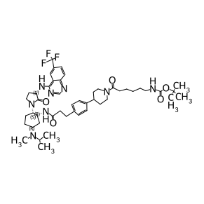 CC(C)N(C)[C@@H]1CC[C@H](N2CC[C@H](Nc3ncnc4ccc(C(F)(F)F)cc34)C2=O)[C@H](NC(=O)CCc2ccc(C3CCN(C(=O)CCCCCNC(=O)OC(C)(C)C)CC3)cc2)C1